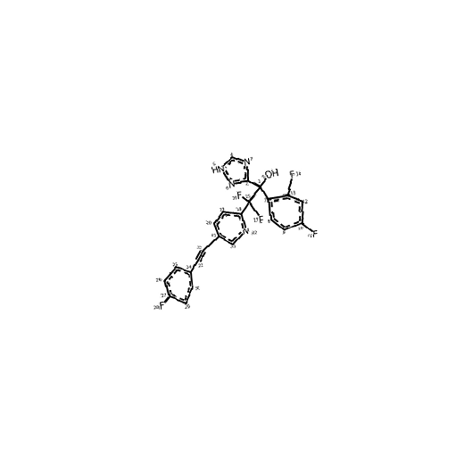 OC(c1nc[nH]n1)(c1ccc(F)cc1F)C(F)(F)c1ccc(C#Cc2ccc(F)cc2)cn1